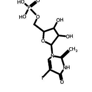 C=C1NC(=O)C(I)=CN1C1OC(COP(=O)(O)O)C(O)C1O